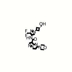 O=C(Nc1cn([C@H]2C[C@H](CO)C2)nc1C(F)F)c1cnn2ccc(N3CCOCC3)nc12